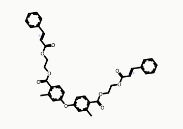 Cc1cc(Oc2ccc(C(=O)OCCOC(=O)/C=C/c3ccccc3)c(C)c2)ccc1C(=O)OCCOC(=O)/C=C/c1ccccc1